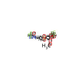 COCOc1cc(S(=O)(=O)c2ccc(CCNC(=O)C(F)(F)F)cc2)ccc1OS(=O)(=O)C(F)(F)F